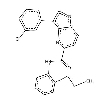 CCCc1ccccc1NC(=O)c1ccn2ncc(-c3cccc(Cl)c3)c2n1